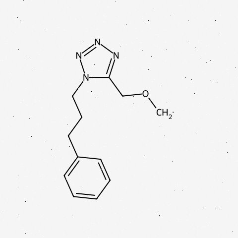 [CH2]OCc1nnnn1CCCc1ccccc1